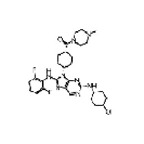 CN1CCN(C(=O)[C@H]2CC[C@@H](n3c(Nc4c(F)cccc4F)nc4cnc(N[C@H]5CC[C@H](O)CC5)nc43)CC2)CC1